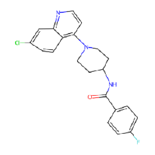 O=C(NC1CCN(c2ccnc3cc(Cl)ccc23)CC1)c1ccc(F)cc1